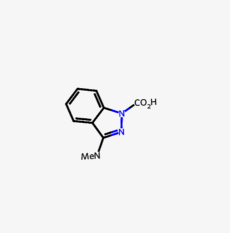 CNc1nn(C(=O)O)c2ccccc12